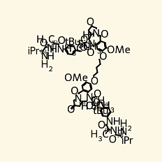 COc1cc2c(cc1OCCCCCOc1cc3c(cc1OC)C(=O)N1CC(=O)C[C@H]1C(O[Si](C)(C)C(C)(C)C)N3C(=O)OCc1ccc(NC(=O)[C@H](C)NC(=O)[C@@H](N)C(C)C)cc1)N(C(=O)OCc1ccc(NC(=O)[C@H](C)NC(=O)[C@@H](N)C(C)C)cc1)C(O[Si](C)(C)C(C)(C)C)[C@@H]1CC(=O)CN1C2=O